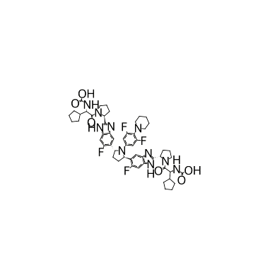 O=C(O)N[C@H](C(=O)N1CCC[C@H]1c1nc2cc([C@H]3CC[C@H](c4cc5nc([C@@H]6CCCN6C(=O)[C@@H](NC(=O)O)C6CCCC6)[nH]c5cc4F)N3c3cc(F)c(N4CCCCC4)c(F)c3)c(F)cc2[nH]1)C1CCCC1